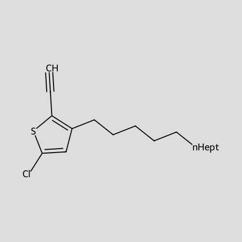 C#Cc1sc(Cl)cc1CCCCCCCCCCCC